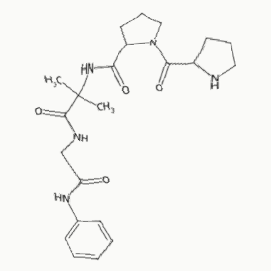 CC(C)(NC(=O)C1CCCN1C(=O)C1CCCN1)C(=O)NCC(=O)Nc1ccccc1